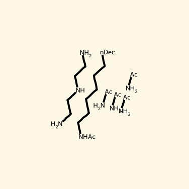 CC(N)=O.CC(N)=O.CC(N)=O.CC(N)=O.CCCCCCCCCCCCCCCCNC(C)=O.NCCNCCN